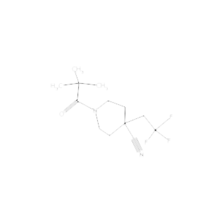 CC(C)(C)C(=O)N1CCC(C#N)(CC(F)(F)F)CC1